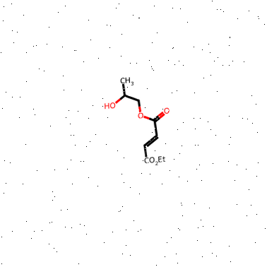 CCOC(=O)C=CC(=O)OCC(C)O